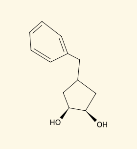 O[C@@H]1CC(Cc2ccccc2)C[C@@H]1O